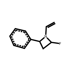 C=CN1C(F)CC1c1ccccc1